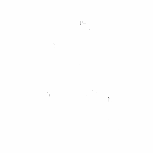 C=CN1CCCC1=O.CCC(C=C(C)C(N)=O)N(C)C